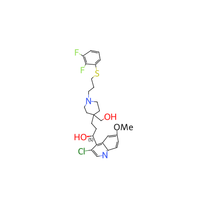 COc1ccc2ncc(Cl)c([C@@H](O)CCC3(CO)CCN(CCCSc4cccc(F)c4F)CC3)c2c1